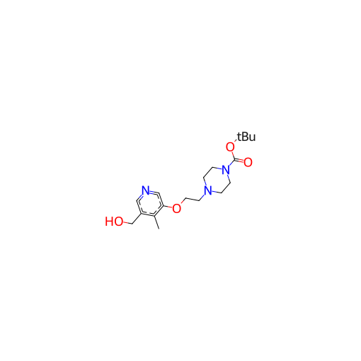 Cc1c(CO)cncc1OCCN1CCN(C(=O)OC(C)(C)C)CC1